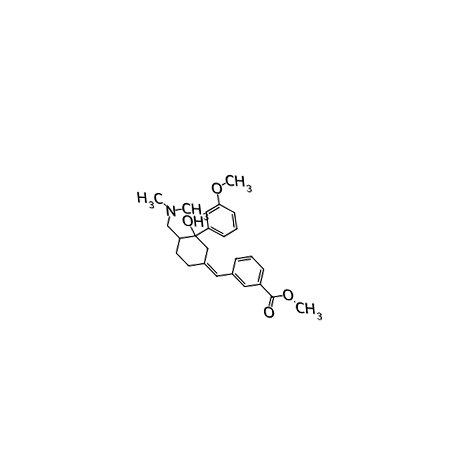 COC(=O)c1cccc(/C=C2/CCC(CN(C)C)C(O)(c3cccc(OC)c3)C2)c1